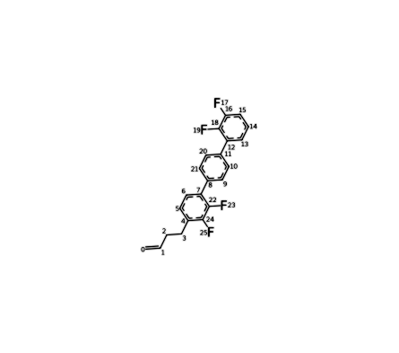 C=CCCc1ccc(-c2ccc(-c3cccc(F)c3F)cc2)c(F)c1F